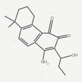 CCC(O)C1=C(N)c2ccc3c(c2C(=O)C1=O)CCCC3(C)C